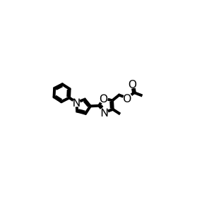 CC(=O)OCc1oc(-c2ccn(-c3ccccc3)c2)nc1C